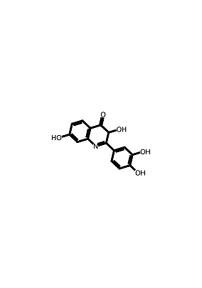 O=C1c2ccc(O)cc2N=C(c2ccc(O)c(O)c2)C1O